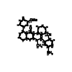 COc1cc(-c2cccc3cc(C(C)Nc4nc(N)ncc4C#N)n(-c4ccccc4)c(=O)c23)ccn1